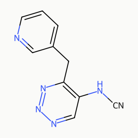 N#CNc1cnnnc1Cc1cccnc1